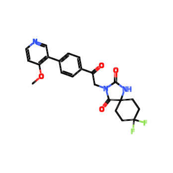 COc1ccncc1-c1ccc(C(=O)CN2C(=O)NC3(CCC(F)(F)CC3)C2=O)cc1